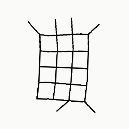 CC1C2C3C4C(C)C5(C)C6(C)C(C)C7C8C9CC%10C1(C)C21C9%10C82C76C45C312